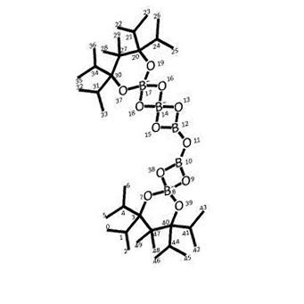 CC(C)C1(C(C)C)O[B-]2(OB(OB3O[B-]4(O3)O[B-]3(O4)OC(C(C)C)(C(C)C)C(C)(C)C(C(C)C)(C(C)C)O3)O2)OC(C(C)C)(C(C)C)C1(C)C